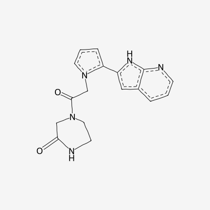 O=C1CN(C(=O)Cn2cccc2-c2cc3cccnc3[nH]2)CCN1